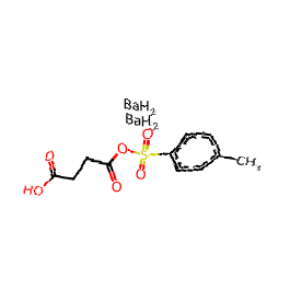 Cc1ccc(S(=O)(=O)OC(=O)CCC(=O)O)cc1.[BaH2].[BaH2]